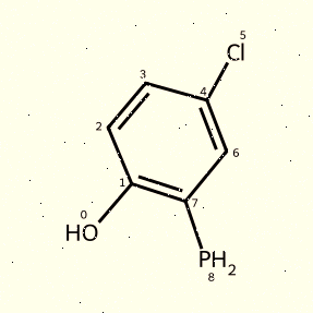 Oc1ccc(Cl)cc1P